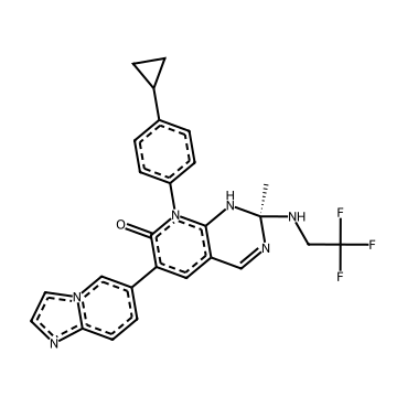 C[C@]1(NCC(F)(F)F)N=Cc2cc(-c3ccc4nccn4c3)c(=O)n(-c3ccc(C4CC4)cc3)c2N1